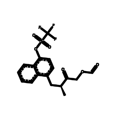 C[C@@H](Cc1ccc(OS(=O)(=O)C(F)(F)F)c2ccccc12)C(=O)COC=O